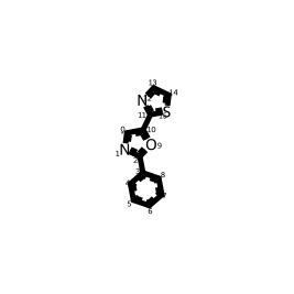 [c]1nc(-c2ccccc2)oc1-c1nccs1